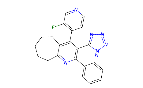 Fc1cnccc1-c1c2c(nc(-c3ccccc3)c1-c1nnn[nH]1)CCCCC2